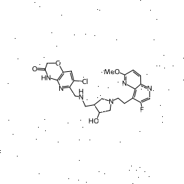 COc1ccc2ncc(F)c(CCN3CC(O)C(CNCc4nc5c(cc4Cl)OCC(=O)N5)C3)c2n1